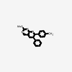 [CH2]c1ccc(-c2nc3nc(SC)ncc3cc2-c2ccccc2)cc1